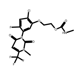 CNC(=O)OCCOc1cc(-n2c(=O)cc(C(F)(F)F)n(C)c2=O)c(F)cc1Cl